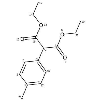 [CH]c1ccc(C(C(=O)OCC)C(=O)OCC)cc1